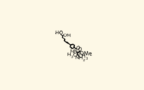 COC(=O)[C@@H](NC(=O)c1ccc(C#CC=CCC(O)CO)cc1)C(C)(C)N